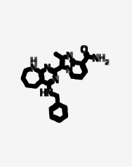 Cc1nc2c(C(N)=O)cccn2c1-c1nc2c(c(NCc3ccccc3)n1)CCCCN2